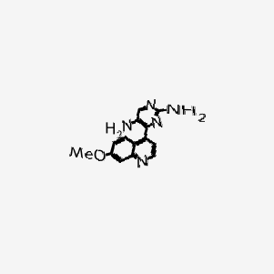 COc1ccc2c(-c3nc(N)ncc3N)ccnc2c1